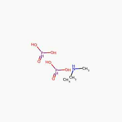 C.CNC.O=[PH](O)O.O=[PH](O)O